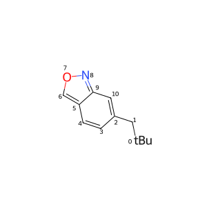 CC(C)(C)Cc1ccc2conc2c1